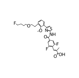 COc1c(CCOCCCCF)cccc1-c1csc(NC(=O)c2cc(F)c(C=C(C)C(=O)O)c(F)c2)n1